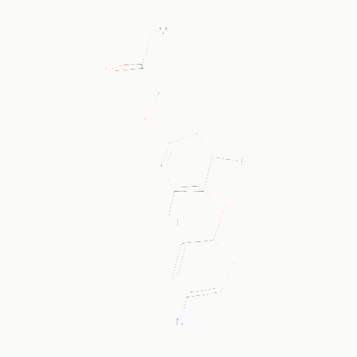 Bc1cc(OCC(=O)OC)cc(Br)c1Oc1ccc(N)cc1